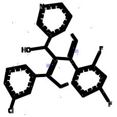 C/C=C(\C(=C(/CC)c1cccc(Cl)c1)C(O)c1cccnc1)c1ccc(F)cc1F